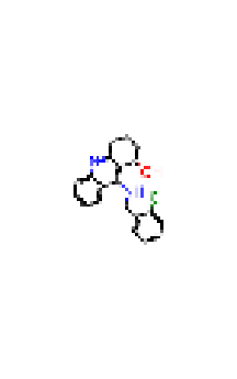 OC1CCCc2nc3ccccc3c(NCc3ccccc3Cl)c21